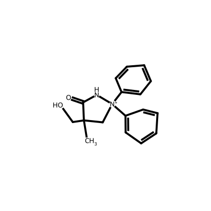 CC1(CO)C[N+](c2ccccc2)(c2ccccc2)NC1=O